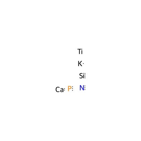 [Ca].[K].[N].[P].[Si].[Ti]